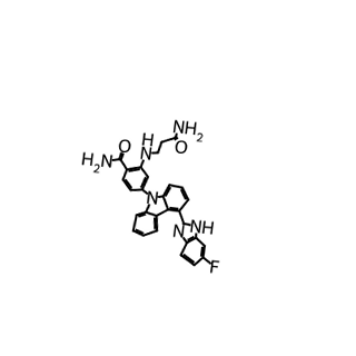 NC(=O)CCNc1cc(-n2c3ccccc3c3c(-c4nc5ccc(F)cc5[nH]4)cccc32)ccc1C(N)=O